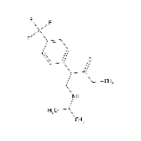 CCC(=O)C(CNC(C)C)c1ccc(C(F)(F)F)cc1